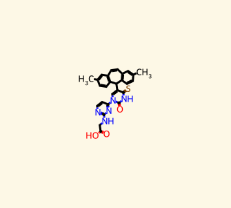 Cc1ccc2c(c1)C=Cc1cc(C)ccc1C2c1cn(-c2ccnc(NCC(=O)O)n2)c(=O)[nH]c1=S